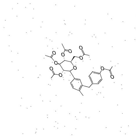 CC(=O)OC[C@H]1OC(c2ccc(C)c(Cc3ccc(OC(C)=O)cc3)c2)[C@H](OC(C)=O)[C@@H](OC(C)=O)[C@@H]1OC(C)=O